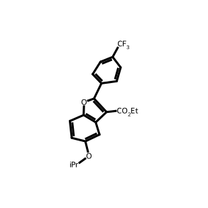 CCOC(=O)c1c(-c2ccc(C(F)(F)F)cc2)oc2ccc(OC(C)C)cc12